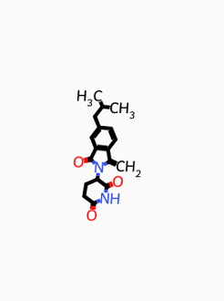 C=C1c2ccc(CC(C)C)cc2C(=O)N1C1CCC(=O)NC1=O